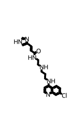 O=C(C=Cc1c[nH]cn1)NCCNCCCNc1ccnc2cc(Cl)ccc12